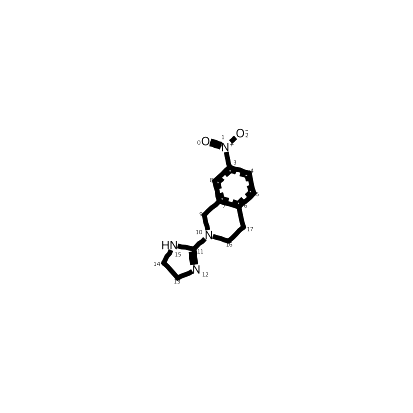 O=[N+]([O-])c1ccc2c(c1)CN(C1=NCCN1)CC2